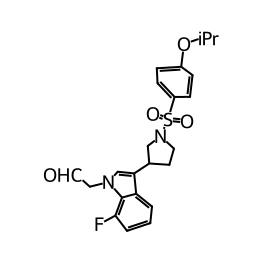 CC(C)Oc1ccc(S(=O)(=O)N2CCC(c3cn(CC=O)c4c(F)cccc34)C2)cc1